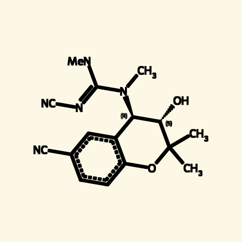 CNC(=NC#N)N(C)[C@@H]1c2cc(C#N)ccc2OC(C)(C)[C@H]1O